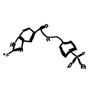 CCS(=O)(=O)c1ccc(CNC(=O)c2ccc3[nH]c(C(F)(F)F)nc3c2)cc1